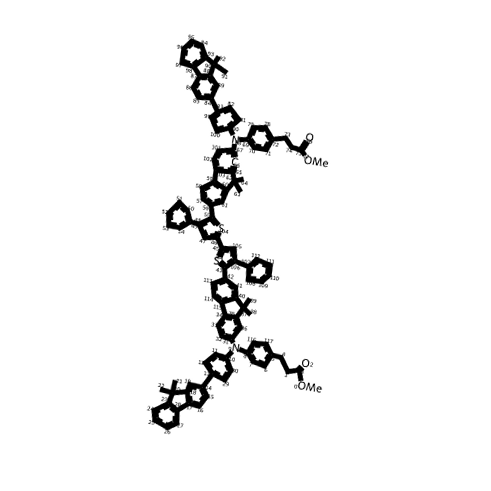 COC(=O)CCc1ccc(N(c2ccc(-c3ccc4c(c3)C(C)(C)c3ccccc3-4)cc2)c2ccc3c(c2)C(C)(C)c2cc(-c4sc(-c5cc(-c6ccccc6)c(-c6ccc7c(c6)C(C)(C)c6cc(N(c8ccc(CCC(=O)OC)cc8)c8ccc(-c9ccc%10c(c9)C(C)(C)c9ccccc9-%10)cc8)ccc6-7)s5)cc4-c4ccccc4)ccc2-3)cc1